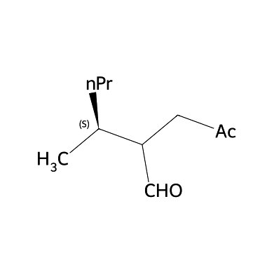 CCC[C@H](C)C(C=O)CC(C)=O